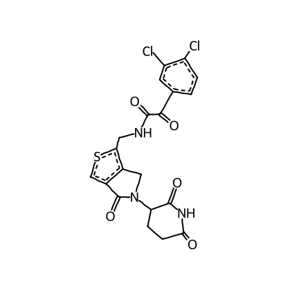 O=C1CCC(N2Cc3c(csc3CNC(=O)C(=O)c3ccc(Cl)c(Cl)c3)C2=O)C(=O)N1